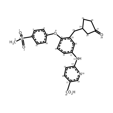 CS(=O)(=O)c1ccc(Oc2ccc(Nc3ccc(C(=O)O)cn3)cc2CC2CCC(=O)C2)cc1